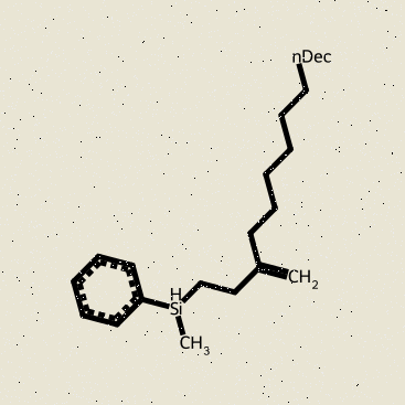 C=C(CCCCCCCCCCCCCCCC)CC[SiH](C)c1ccccc1